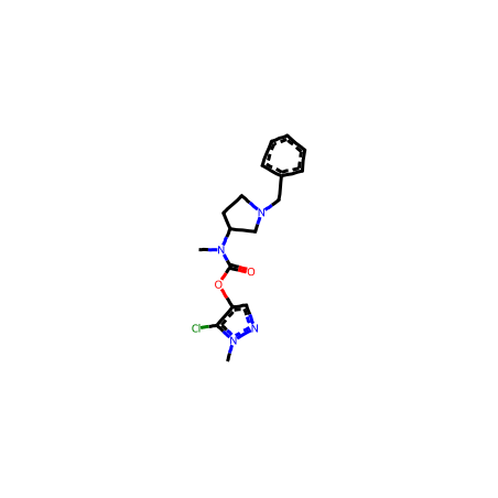 CN(C(=O)Oc1cnn(C)c1Cl)C1CCN(Cc2ccccc2)C1